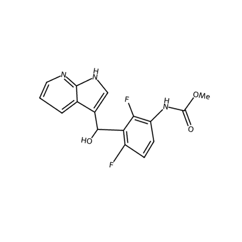 COC(=O)Nc1ccc(F)c(C(O)c2c[nH]c3ncccc23)c1F